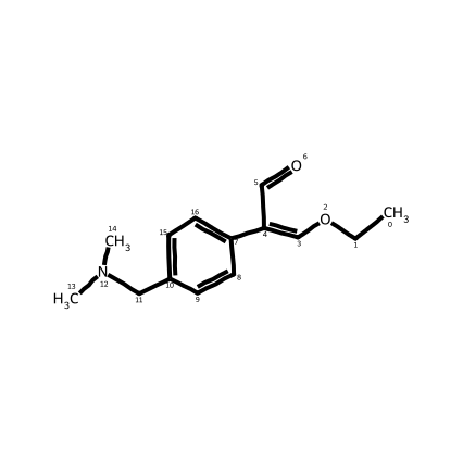 CCOC=C(C=O)c1ccc(CN(C)C)cc1